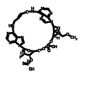 COCC1OC2[C@H](F)[C@@H]1OP(=O)(O)OCC1O[C@H]([C@H](F)[C@@H]1O[PH](O)=S)n1cnc3c(ncnc31)NC/C=C/CNc1ncnc3c1ncn32